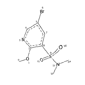 COc1ncc(Br)cc1S(=O)(=O)N(C)C